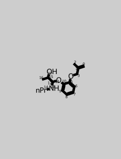 C=C(C)COc1ccccc1OC(NCCC)C(C)O